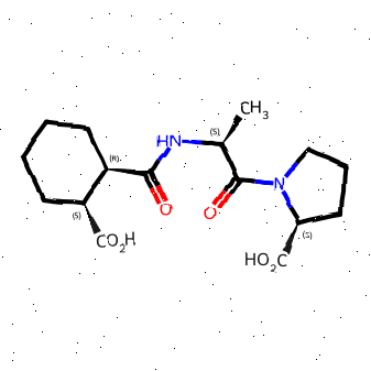 C[C@H](NC(=O)[C@@H]1CCCC[C@@H]1C(=O)O)C(=O)N1CCC[C@H]1C(=O)O